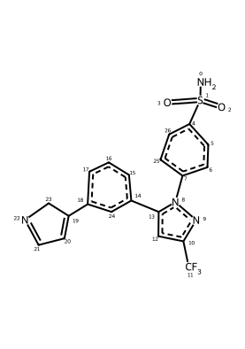 NS(=O)(=O)c1ccc(-n2nc(C(F)(F)F)cc2-c2cccc(C3=CC=NC3)c2)cc1